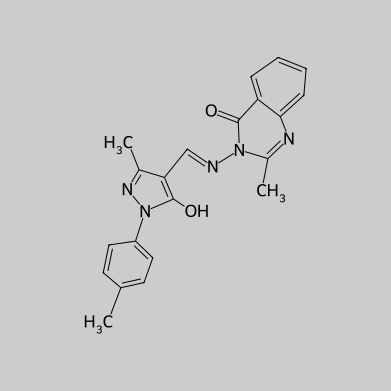 Cc1ccc(-n2nc(C)c(C=Nn3c(C)nc4ccccc4c3=O)c2O)cc1